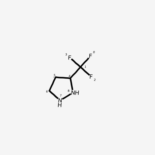 FC(F)(F)C1[CH]CNN1